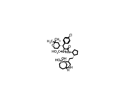 CC1(C)CC([C@H](c2ccc(Cl)cc2)[C@H](NC(=O)O)C(=O)N[C@H]2CCC[C@@H]2CC[C@H]2CN[C@@H]3CCCS(O)(O)N2C3)CCO1